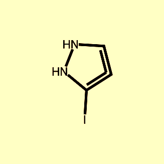 IC1=C=CNN1